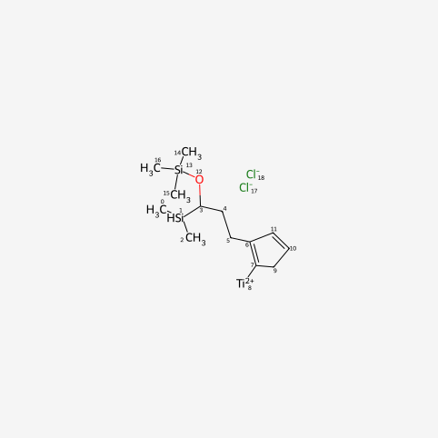 C[SiH](C)C(CCC1=[C]([Ti+2])CC=C1)O[Si](C)(C)C.[Cl-].[Cl-]